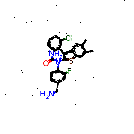 Cc1cc2sc(N(C(N)=O)c3ccc(CN)cc3F)c(-c3ccccc3Cl)c2cc1C